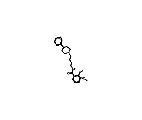 COc1cccc(C(=O)NCCCCN2CCC(c3ccccc3)CC2)c1OC